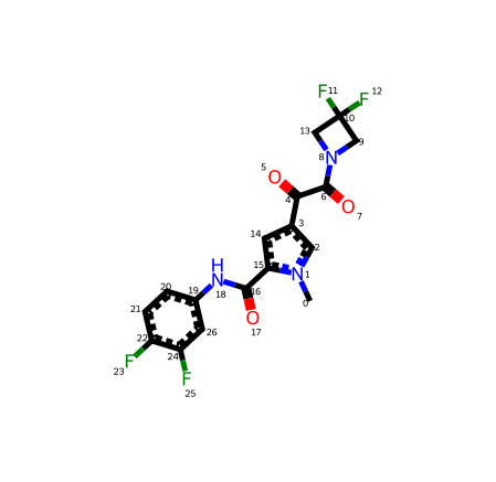 Cn1cc(C(=O)C(=O)N2CC(F)(F)C2)cc1C(=O)Nc1ccc(F)c(F)c1